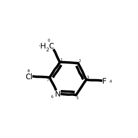 [CH2]c1cc(F)cnc1Cl